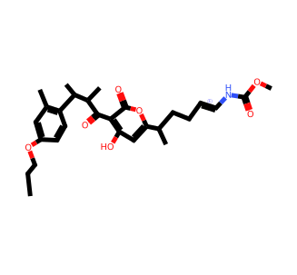 CCCOc1ccc(C(C)C(C)C(=O)c2c(O)cc(C(C)CC/C=C/NC(=O)OC)oc2=O)c(C)c1